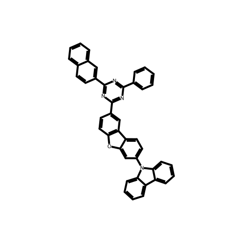 c1ccc(-c2nc(-c3ccc4ccccc4c3)nc(-c3ccc4oc5cc(-n6c7ccccc7c7ccccc76)ccc5c4c3)n2)cc1